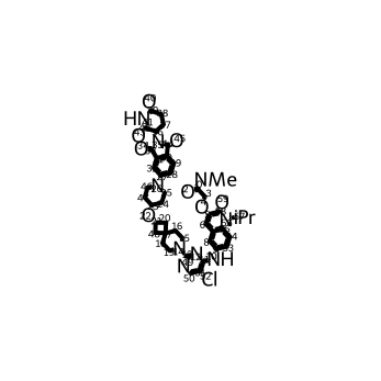 CNC(=O)COc1cc2cc(Nc3nc(N4CCC5(CC4)CC(OC4CCN(c6ccc7c(c6)C(=O)N(C6CCC(=O)NC6=O)C7=O)CC4)C5)ncc3Cl)ccc2n(C(C)C)c1=O